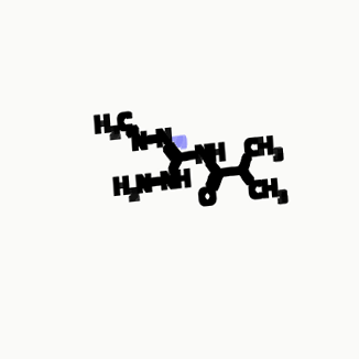 C=N/N=C(\NN)NC(=O)C(C)C